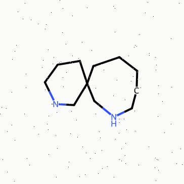 C1CCNCC2(CC1)CCC[N]C2